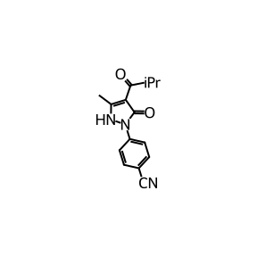 Cc1[nH]n(-c2ccc(C#N)cc2)c(=O)c1C(=O)C(C)C